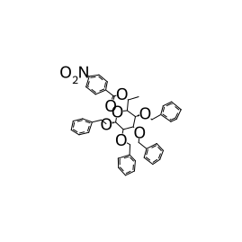 CC(OC(=O)c1ccc([N+](=O)[O-])cc1)C1O[C@H](OCc2ccccc2)C(OCc2ccccc2)C(OCc2ccccc2)[C@@H]1OCc1ccccc1